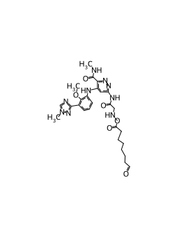 CNC(=O)c1nnc(NC(=O)CNOC(=O)CCCCCCC=O)cc1Nc1cccc(-c2ncn(C)n2)c1OC